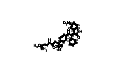 CCS(=O)(=O)N(CC(=O)NCCN(C)C)c1ccc(NC(=C2C(=O)Nc3ccc([N+](=O)[O-])cc32)c2ccccc2)cc1